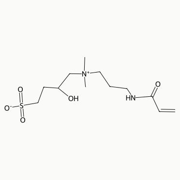 C=CC(=O)NCCC[N+](C)(C)CC(O)CCS(=O)(=O)[O-]